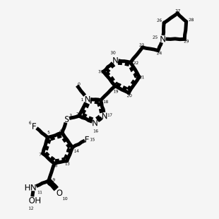 Cn1c(Sc2c(F)cc(C(=O)NO)cc2F)nnc1-c1ccc(CCN2CCCC2)nc1